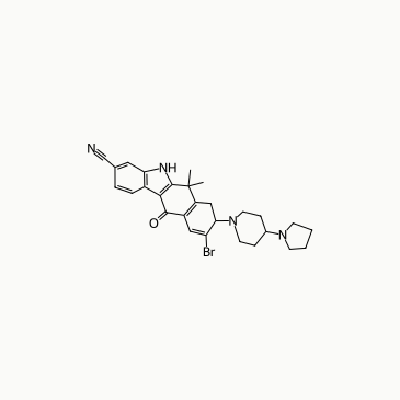 CC1(C)C2=C(C=C(Br)C(N3CCC(N4CCCC4)CC3)C2)C(=O)c2c1[nH]c1cc(C#N)ccc21